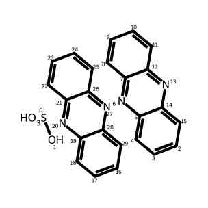 O=S(=O)(O)O.c1ccc2nc3ccccc3nc2c1.c1ccc2nc3ccccc3nc2c1